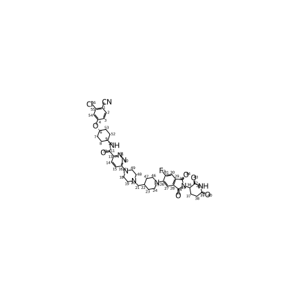 N#Cc1ccc(O[C@H]2CC[C@H](NC(=O)c3ccc(N4CCN(CC5CCN(c6cc7c(cc6F)C(=O)N(C6CCC(=O)NC6=O)C7=O)CC5)CC4)nn3)CC2)cc1Cl